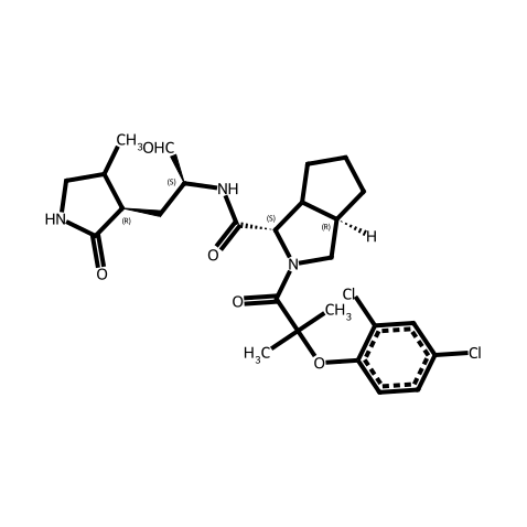 CC1CNC(=O)[C@@H]1C[C@@H](C=O)NC(=O)[C@@H]1C2CCC[C@H]2CN1C(=O)C(C)(C)Oc1ccc(Cl)cc1Cl